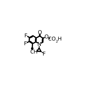 C#Cc1c(F)c(F)cc2c(=O)c(OC(=O)O)cn([C@@H]3C[C@@H]3F)c12